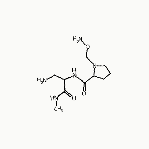 CNC(=O)C(CN)NC(=O)C1CCCN1CON